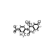 C.Cc1cc([N+](=O)[O-])ccc1N1C(=O)Cc2ccc(Cl)cc2C1=O